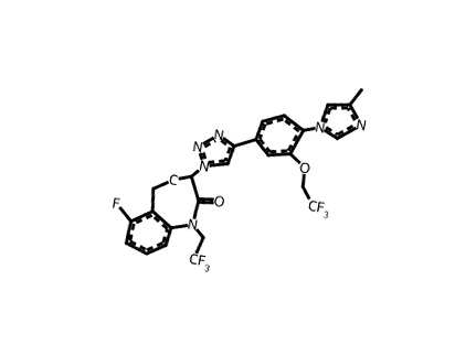 Cc1cn(-c2ccc(-c3cn(C4CCc5c(F)cccc5N(CC(F)(F)F)C4=O)nn3)cc2OCC(F)(F)F)cn1